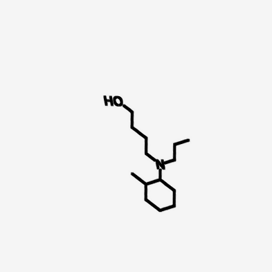 CCCN(CCCCO)C1CCCCC1C